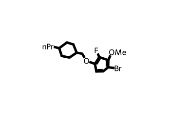 CCCC1CCC(COc2ccc(Br)c(OC)c2F)CC1